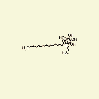 CCC=CCC=CCC=CCCCCCCCC(=O)O[C@@]1(CCCC)O[C@H](CO)[C@@H](O)[C@H](O)[C@H]1O